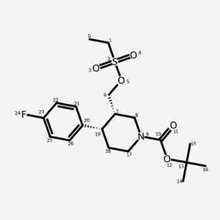 CCS(=O)(=O)OC[C@@H]1CN(C(=O)OC(C)(C)C)CC[C@@H]1c1ccc(F)cc1